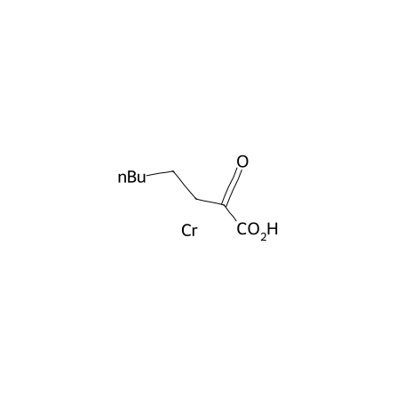 CCCCCCC(=O)C(=O)O.[Cr]